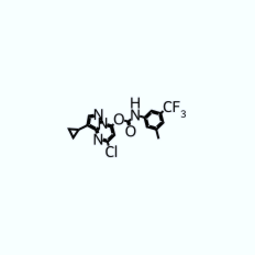 Cc1cc(NC(=O)Oc2cc(Cl)nc3c(C4CC4)cnn23)cc(C(F)(F)F)c1